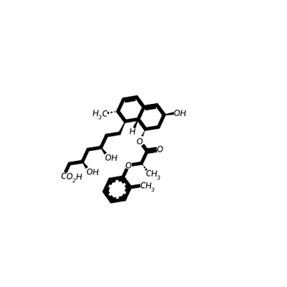 Cc1ccccc1O[C@@H](C)C(=O)O[C@H]1C[C@H](O)C=C2C=C[C@@H](C)[C@H](CC[C@@H](O)C[C@@H](O)CC(=O)O)[C@H]21